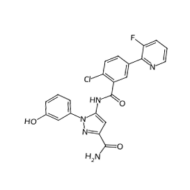 NC(=O)c1cc(NC(=O)c2cc(-c3ncccc3F)ccc2Cl)n(-c2cccc(O)c2)n1